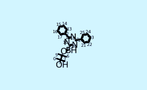 CC(C)(O)C(C)(C)OBc1nc(-c2ccccc2)nc(-c2ccccc2)n1